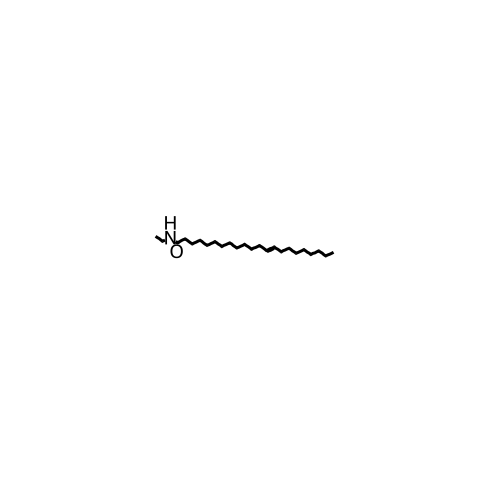 CCCCCCCCC=CCCCCCCCCCCCC(=O)NCC